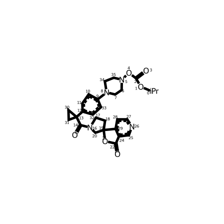 CC(C)OC(=O)ON1CCN(c2ccc(C3(C(=O)N4CCC5(C4)OC(=O)c4cnccc45)CC3)cc2)CC1